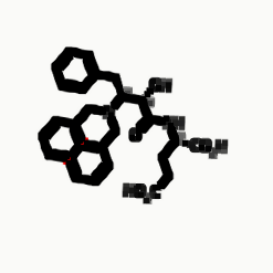 O=C(O)CC[C@H](NC(=O)[C@@H](O)[C@H](Cc1ccccc1)N(Cc1ccccc1)Cc1ccccc1)C(=O)O